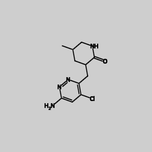 CC1CNC(=O)C(Cc2nnc(N)cc2Cl)C1